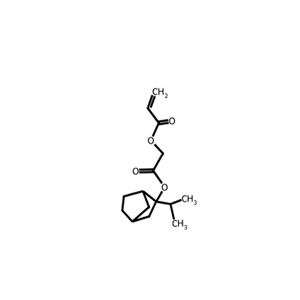 C=CC(=O)OCC(=O)OC1(C(C)C)CC2CCC1C2